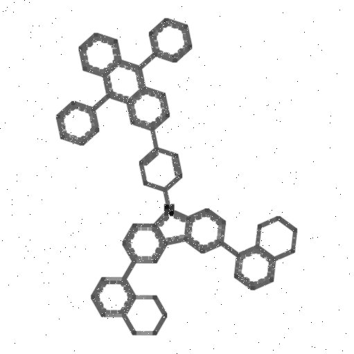 C1=CC(n2c3ccc(-c4cccc5c4CCCC5)cc3c3cc(-c4cccc5c4CCCC5)ccc32)CC=C1c1ccc2c(-c3ccccc3)c3ccccc3c(-c3ccccc3)c2c1